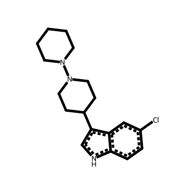 Clc1ccc2[nH]cc(C3CCN(N4CCCCC4)CC3)c2c1